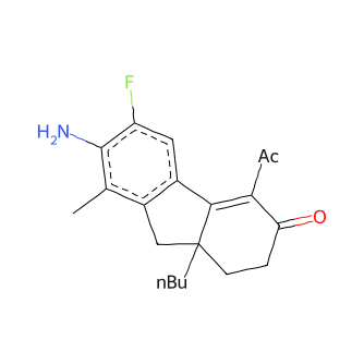 CCCCC12CCC(=O)C(C(C)=O)=C1c1cc(F)c(N)c(C)c1C2